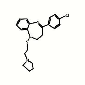 Clc1ccc(C2=Nc3ccccc3N(SCCN3CCCC3)CC2)cc1